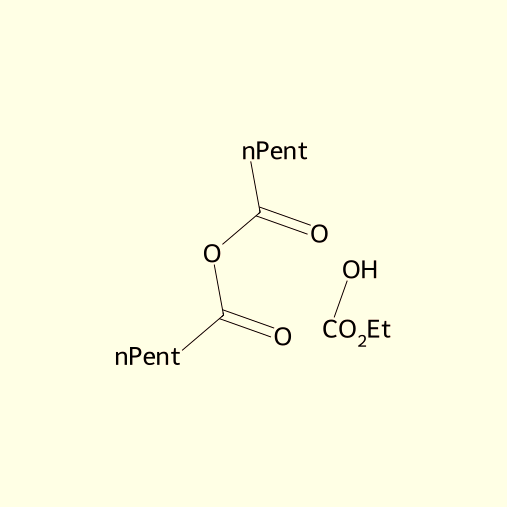 CCCCCC(=O)OC(=O)CCCCC.CCOC(=O)O